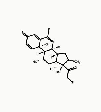 C[C@@H]1C[C@H]2[C@@H]3C=C(F)C4=CC(=O)C=C[C@]4(C)[C@H]3[C@@H](O)C[C@]2(C)[C@@]1(O)C(=O)CF